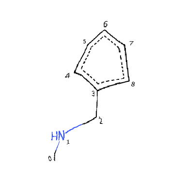 CN[CH]c1ccccc1